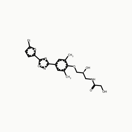 CCc1ccc(-c2nc(-c3cc(C)c(OC[C@@H](O)CNC(=O)CO)c(C)c3)no2)s1